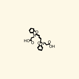 O=C(O)CCN1/C(=C\C=C\c2oc3ccccc3[n+]2CCC(=O)O)Oc2ccccc21